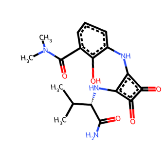 CC(C)[C@H](Nc1c(Nc2cccc(C(=O)N(C)C)c2O)c(=O)c1=O)C(N)=O